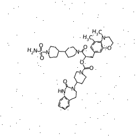 Cc1cc(C[C@@H](OC(=O)N2CCC(N3CCc4ccccc4NC3=O)CC2)C(=O)N2CCC(C3CCN(S(N)(=O)=O)CC3)CC2)cc2c1N(C)CCO2